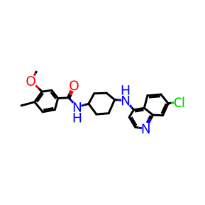 COc1cc(C(=O)NC2CCC(Nc3ccnc4cc(Cl)ccc34)CC2)ccc1C